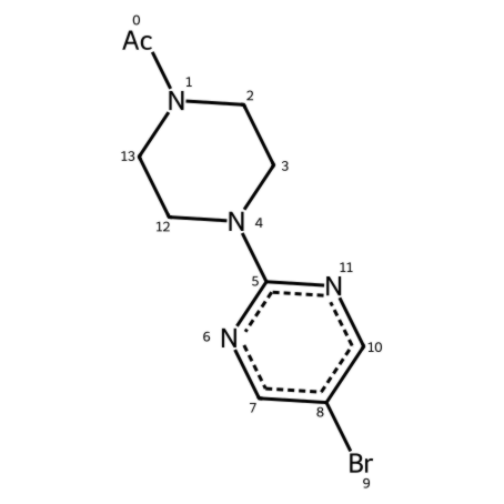 CC(=O)N1CCN(c2ncc(Br)cn2)CC1